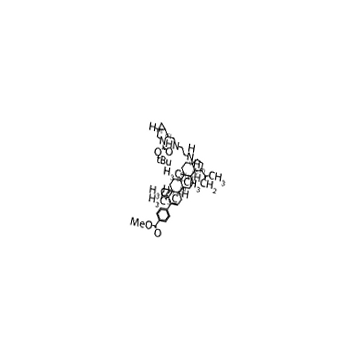 C=C(C)[C@@H]1CC[C@]2(NCCNC[C@@H]3C4C[C@H]4CN3C(=O)OC(C)(C)C)CC[C@]3(C)[C@H](CC[C@@H]4[C@@]5(C)CC=C(c6ccc(C(=O)OC)cc6)C(C)(C)[C@@H]5CC[C@]43C)[C@@H]12